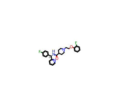 O=C(N[C@@H](c1ccc(F)cc1)c1ccccn1)C1CCN(CCOc2ccccc2F)CC1